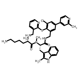 Cc1cc(-c2cc(Cl)c(Sc3ncccc3CN)c(CNC(=O)[C@H](Cc3c(C)[nH]c4ccccc34)N(C)C(=O)[C@@H](N)CCCCN)c2)ccn1